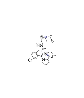 C=C(CCc1ccc(Cl)cc1C(=C)N1CCCCC1/C(C=C(C)C)=N/C)NCCN(C)/C(C)=C/C(=C)C1CC1